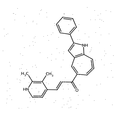 CC1=C(C)C(/C=C/C(=O)C2=Cc3cc(-c4ccccc4)[nH]c3C=C=C2)=C=CN1